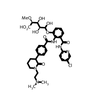 CO[C@H](C(=O)O)[C@@H](O)[C@H](O)C(O)Oc1cccc(C(=O)Nc2ccc(Cl)cn2)c1NC(=O)c1ccc(C2CCCN(CCN(C)C)C2=O)cc1